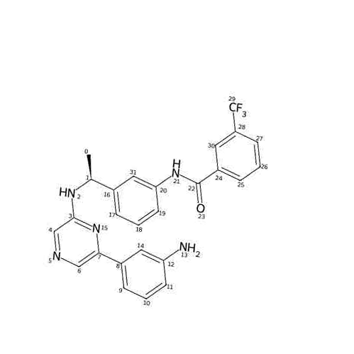 C[C@H](Nc1cncc(-c2cccc(N)c2)n1)c1cccc(NC(=O)c2cccc(C(F)(F)F)c2)c1